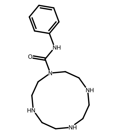 O=C(Nc1ccccc1)N1CCNCCNCCNCC1